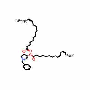 CCCCC/C=C\C/C=C\CCCCCCCC(=O)O[C@@H]1CN(Cc2ccccc2)C[C@H]1OC(=O)CCCCCCC/C=C\C/C=C\CCCCC